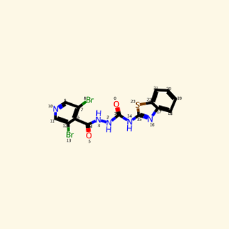 O=C(NNC(=O)c1c(Br)cncc1Br)Nc1nc2ccccc2s1